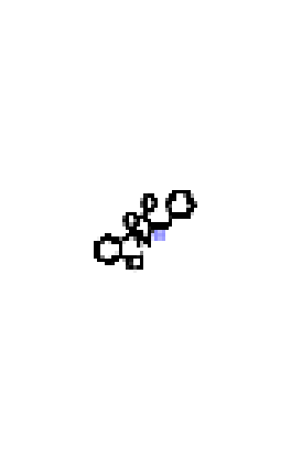 O=C1OC(c2ccccc2Cl)=N/C1=C/c1ccccc1